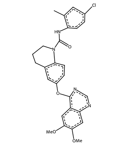 COc1cc2ncnc(Oc3ccc4c(c3)CCCN4C(=O)Nc3ccc(Cl)cc3C)c2cc1OC